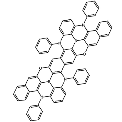 c1ccc(N2c3cccc4c3B3c5c(cc6ccccc6c52)Oc2cc5c6c7c(cc5c(c23)N4c2ccccc2)Oc2cc3ccccc3c3c2B7c2c(cccc2N6c2ccccc2)N3c2ccccc2)cc1